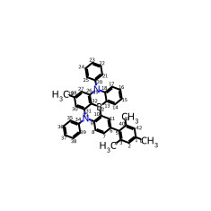 Cc1cc(C)c(-c2ccc3c(c2)B2c4ccccc4N(c4ccccc4)c4cc(C)cc(c42)N3c2ccccc2)c(C)c1